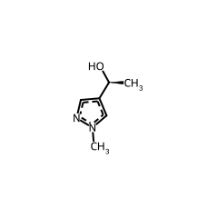 C[C@H](O)c1cnn(C)c1